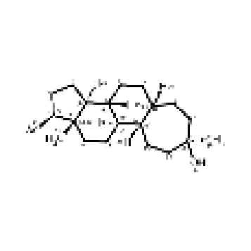 CC(=O)[C@H]1CC[C@H]2[C@@H]3CC[C@@H]4CC[C@@](C)(O)CC[C@@H]4[C@H]3CC[C@]12C